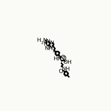 Cc1ccc(C(=O)NCCC[C@H](NC(=O)c2ccc(CCc3cnc4nc(N)nc(N)c4n3)cc2)C(=O)O)cc1